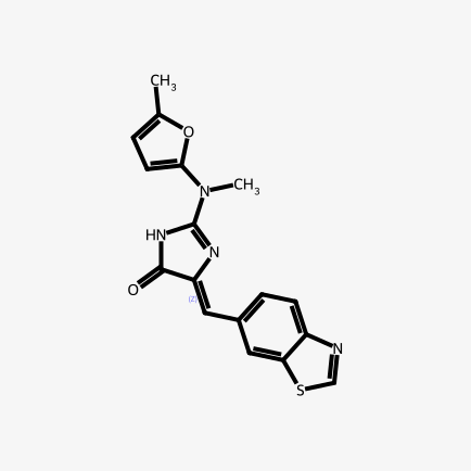 Cc1ccc(N(C)C2=N/C(=C\c3ccc4ncsc4c3)C(=O)N2)o1